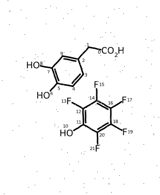 O=C(O)Cc1ccc(O)c(O)c1.Oc1c(F)c(F)c(F)c(F)c1F